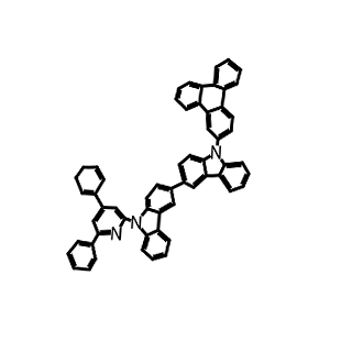 C1=CC(c2cc(-c3ccccc3)nc(-n3c4ccccc4c4cc(-c5ccc6c(c5)c5ccccc5n6-c5ccc6c7ccccc7c7ccccc7c6c5)ccc43)c2)=CCC1